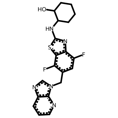 OC1CCCCC1Nc1nc2c(F)cc(Cn3cnc4cccnc43)c(F)c2s1